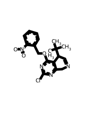 CC(C)(C)C1C=NCc2nc(Cl)nc(OCc3ccccc3[N+](=O)[O-])c21